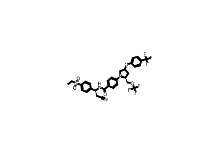 CCS(=O)(=O)c1ccc([C@H](CC#N)NC(=O)c2ccc(N3CC(Oc4ccc(C(F)(F)F)cc4)C[C@H]3COC(F)(F)F)cc2)cc1